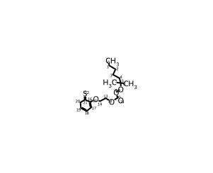 CCCCCC(C)(C)OOC(=O)OCCOC1=CC=CCC1=S